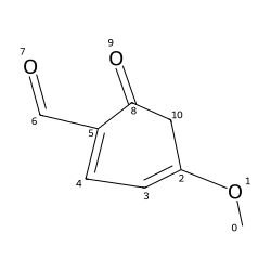 COC1=CC=C(C=O)C(=O)C1